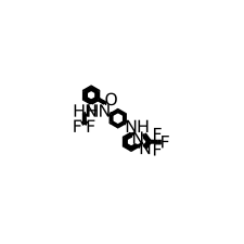 O=C(NC1CCC(Nc2cccc3nc(C(F)(F)F)cn23)CC1)c1ccccc1NCC(F)F